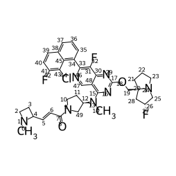 CN1CCC1/C=C/C(=O)N1CC[C@@H](N(C)c2nc(OC[C@@]34CCCN3C[C@H](F)C4)nc3c(F)c(-c4cccc5ccc(F)c(Cl)c45)ncc23)C1